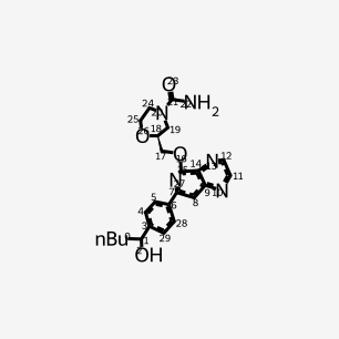 CCCCC(O)c1ccc(-c2cc3nccnc3c(OC[C@@H]3CN(C(N)=O)CCO3)n2)cc1